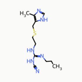 CCCN=C(NC#N)NCCSCc1[nH]cnc1C